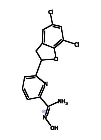 N/C(=N\O)c1cccc(C2Cc3cc(Cl)cc(Cl)c3O2)n1